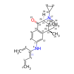 C=C/C=C(\C=C)Nc1ccc2c(c1)[C@@]1(C)CCN(C3CC3)[C@H](C2=O)[C@@H]1C